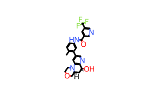 Cc1ccc(NC(=O)c2cncc(C(F)(F)F)c2)cc1-c1cnc2c(c1)N1CCOC[C@H]1C[C@@H]2O